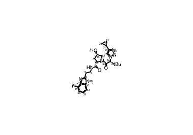 Cn1c(CCNC(=O)[C@@H]2C[C@@H](O)CN2C(=O)[C@@H](n2cc(C3CC3)nn2)C(C)(C)C)nc2c(F)cccc21